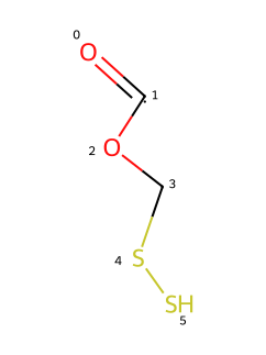 O=[C]OCSS